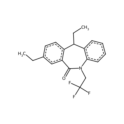 CCc1ccc2c(c1)C(=O)N(CC(F)(F)F)c1ccccc1C2CC